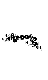 COC(=O)N[C@H](C(=O)N1CCC[C@H]1c1ccc(-c2ccc(-c3ccc(-c4cnc([C@@H]5CCCN5C(=O)[C@@H](NC(=O)OC)C(C)C)[nH]4)cc3)cc2)[nH]1)C(C)C